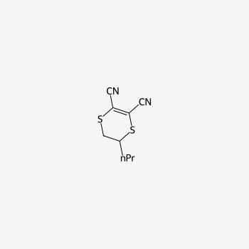 CCCC1CSC(C#N)=C(C#N)S1